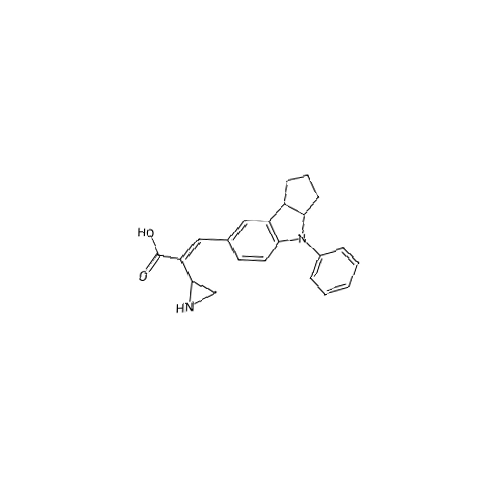 O=C(O)/C(=C/c1ccc2c(c1)C1CCCC1N2c1ccccc1)C1CN1